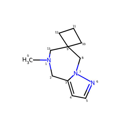 CN1Cc2ccnn2CC2(CCC2)C1